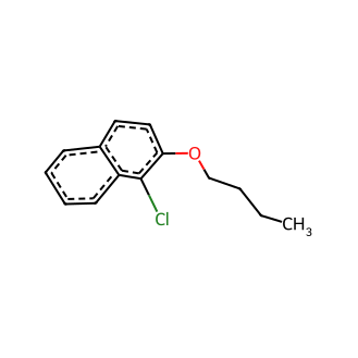 CCCCOc1ccc2ccccc2c1Cl